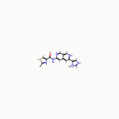 Cc1nc(C(=O)Nc2cc3cc(-c4cncn4C)ncc3cn2)cs1